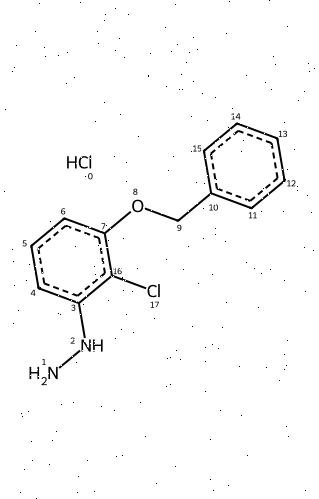 Cl.NNc1cccc(OCc2ccccc2)c1Cl